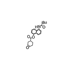 CCC(C)C(=O)Nc1cccc2c(OC(=O)C3CCC4OC4C3)cccc12